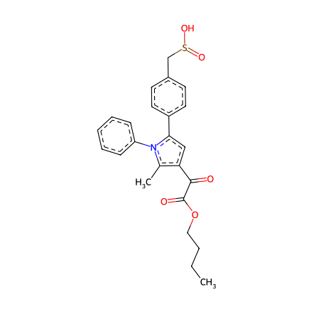 CCCCOC(=O)C(=O)c1cc(-c2ccc(CS(=O)O)cc2)n(-c2ccccc2)c1C